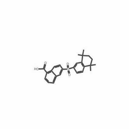 CC1(C)CCC(C)(C)c2cc(S(=O)(=O)c3ccc4c(C(=O)O)cccc4c3)ccc21